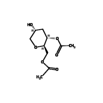 CC(=O)OC[C@H]1OC[C@H](O)C[C@@H]1OC(C)=O